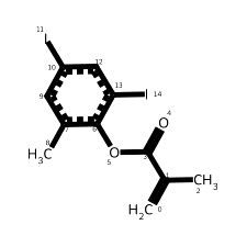 C=C(C)C(=O)Oc1c(C)cc(I)cc1I